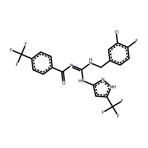 O=C(/N=C(/NCc1ccc(F)c(Cl)c1)Nc1cc(C(F)(F)F)[nH]n1)c1ccc(C(F)(F)F)cc1